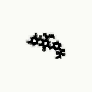 CCS(=O)(=O)Nc1cc(Cc2cc(C(N)=O)c(Nc3ccc(C)cc3F)n(C)c2=O)ccn1